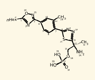 CCCCCCc1nc(-c2ccc(-c3nnc([C@@](C)(N)COP(=O)(O)O)s3)c(C)c2)no1